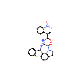 C=C(C(=O)N[C@H]1N=C(c2ccccc2F)c2cccc3c2N(CC3)C1=O)c1ccccc1[N+](=O)[O-]